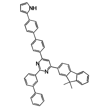 CC1(C)c2ccccc2-c2ccc(-c3cc(-c4ccc(-c5ccc(-c6ccc[nH]6)cc5)cc4)nc(-c4cccc(-c5ccccc5)c4)n3)cc21